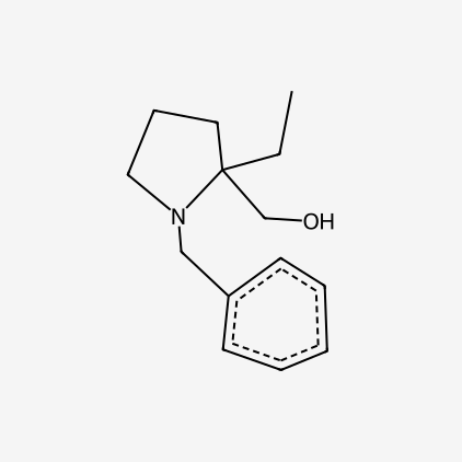 CCC1(CO)CCCN1Cc1ccccc1